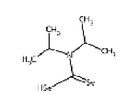 CC(C)N(C(=[Se])[SeH])C(C)C